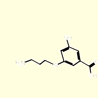 NCCCOc1cc(O)cc(C(=O)O)c1